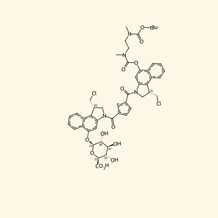 CN(CCN(C)C(=O)OC(C)(C)C)C(=O)Oc1cc2c(c3ccccc13)[C@H](CCl)CN2C(=O)c1ccc(C(=O)N2C[C@@H](CCl)c3c2cc(O[C@@H]2O[C@H](C(=O)O)[C@@H](O)[C@H](O)[C@H]2O)c2ccccc32)s1